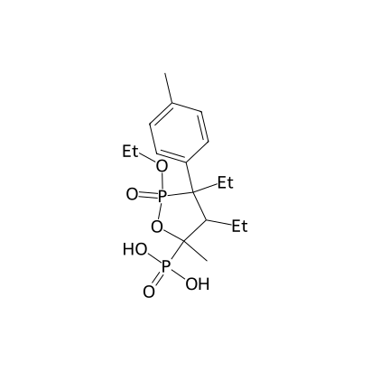 CCOP1(=O)OC(C)(P(=O)(O)O)C(CC)C1(CC)c1ccc(C)cc1